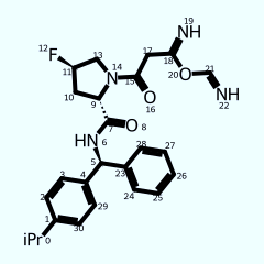 CC(C)c1ccc([C@@H](NC(=O)[C@@H]2C[C@@H](F)CN2C(=O)CC(=N)OC=N)c2ccccc2)cc1